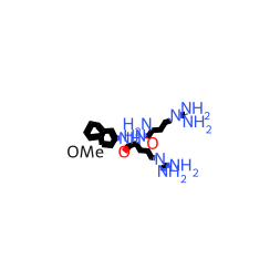 COc1cc(NC(=O)C(CCCN=C(N)N)NC(=O)C(N)CCCN=C(N)N)cc2ccccc12